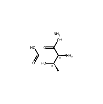 C[C@@H](O)[C@H](N)C(=O)O.N.O=CO